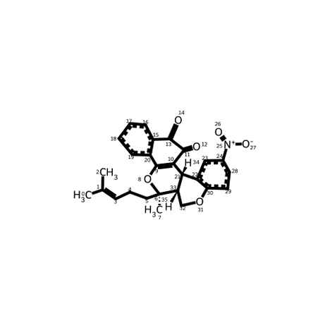 CC(C)=CCC[C@@]1(C)OC2=C(C(=O)C(=O)c3ccccc32)[C@@H]2c3cc([N+](=O)[O-])ccc3OC[C@@H]21